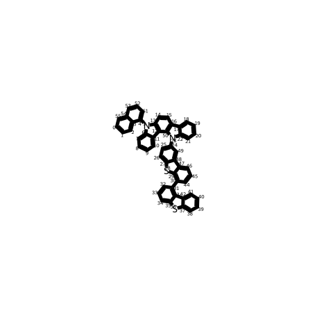 c1ccc2c(-n3c4ccccc4c4c3ccc3c5ccccc5n(-c5ccc6sc7c(-c8cccc9sc%10ccccc%10c89)cccc7c6c5)c34)cccc2c1